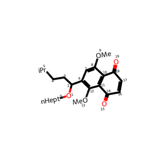 CCCCCCCOC(CCC(C)C)c1cc(OC)c2c(c1OC)C(=O)C=CC2=O